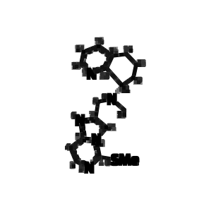 CSc1nccc2nc(CN(C)[C@H]3CCCc4cccnc43)cn12